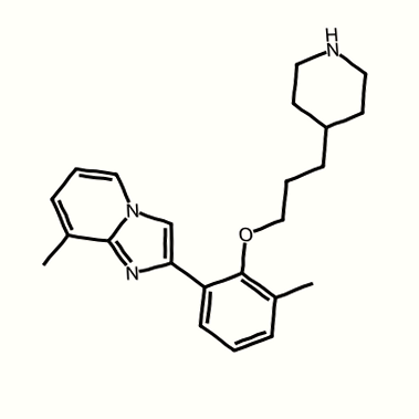 Cc1cccc(-c2cn3cccc(C)c3n2)c1OCCCC1CCNCC1